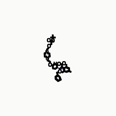 Cc1cc(C)c(/C(C(=O)O)=C(\OCc2ccccc2)[C@H]2CC[C@@H](OCCN3CCN(CCOCC(=O)OC(C)(C)C)CC3)CC2)c(C)c1